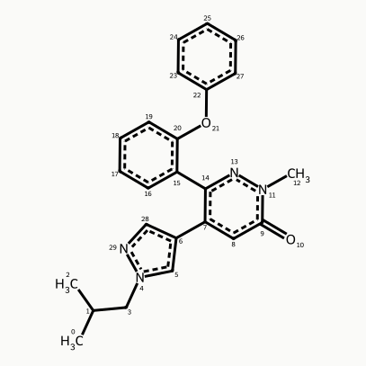 CC(C)Cn1cc(-c2cc(=O)n(C)nc2-c2ccccc2Oc2ccccc2)cn1